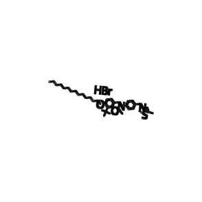 Br.CCCCCCCCCCCCCCOc1ccc(CN(C(C)=O)c2ccc(CN3C=C(C)SC3)cc2)cc1C(C)(C)C